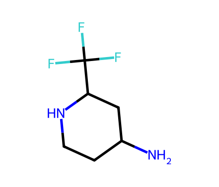 NC1CCNC(C(F)(F)F)C1